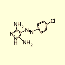 Nc1n[nH]c(N)c1N=Nc1ccc(Cl)cc1